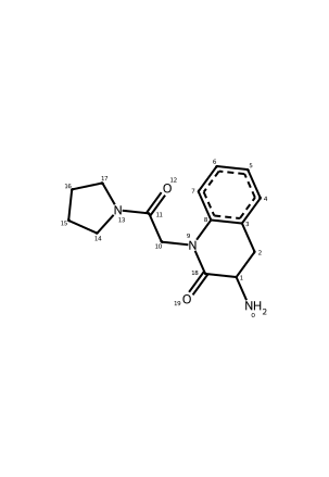 NC1Cc2ccccc2N(CC(=O)N2CCCC2)C1=O